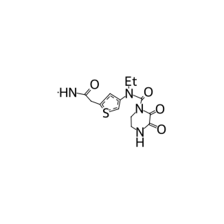 CCN(C(=O)N1CCNC(=O)C1=O)c1csc(CC([NH])=O)c1